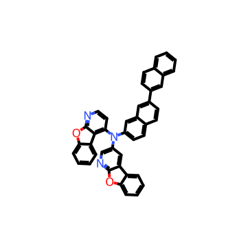 c1ccc2cc(-c3ccc4ccc(N(c5cnc6oc7ccccc7c6c5)c5ccnc6oc7ccccc7c56)cc4c3)ccc2c1